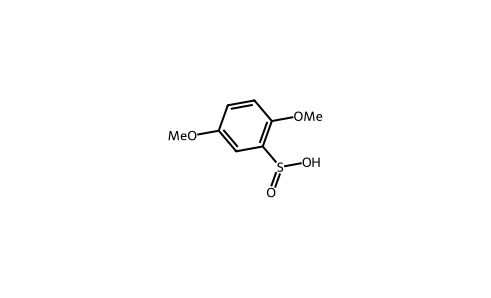 COc1ccc(OC)c(S(=O)O)c1